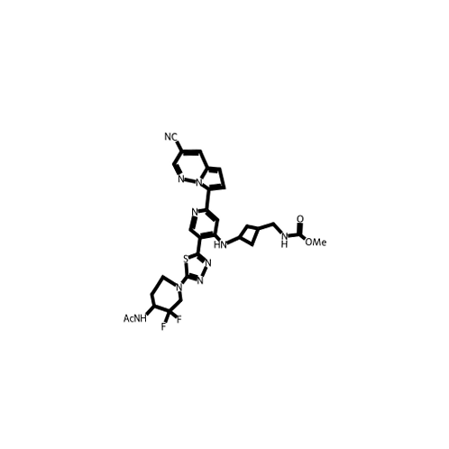 COC(=O)NCC1CC(Nc2cc(-c3ccc4cc(C#N)cnn34)ncc2-c2nnc(N3CCC(NC(C)=O)C(F)(F)C3)s2)C1